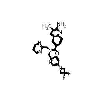 Cc1cc2cc(C(=O)N(Cc3ccc(N4CC(F)(F)C4)cn3)Cc3ncccn3)ccc2nc1N